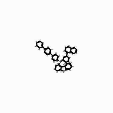 c1ccc(-c2ccc(-c3ccc(N(c4cccc(-c5cccc6ccccc56)c4)c4cccc5sc6ccccc6c45)cc3)cc2)cc1